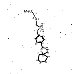 COOOSCS(=O)(=O)Oc1ccc(C2OCC3(CCCCC3)O2)cc1